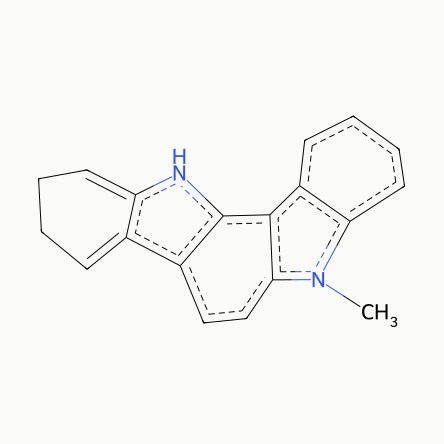 Cn1c2ccccc2c2c3[nH]c4c(c3ccc21)=CCCC=4